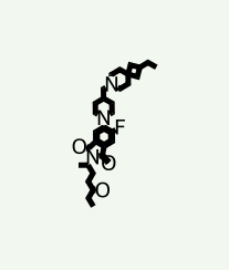 CCC(=O)CCC(C)N1C(=O)c2cc(F)c(N3CCC(CN4CCC5(CC4)CC(CC)C5)CC3)cc2C1=O